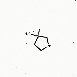 CS1(I)CCNC1